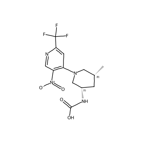 C[C@@H]1C[C@H](NC(=O)O)CN(c2cc(C(F)(F)F)ncc2[N+](=O)[O-])C1